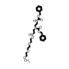 COCCOCCOCCONCCN(CCNC(=O)OCc1ccccc1)C(=O)OCc1ccccc1